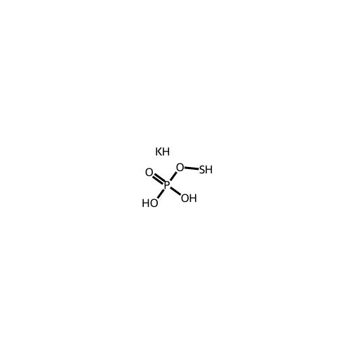 O=P(O)(O)OS.[KH]